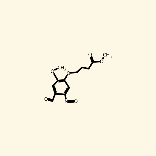 COC(=O)CCCOc1cc(N=O)c(C=O)cc1OC